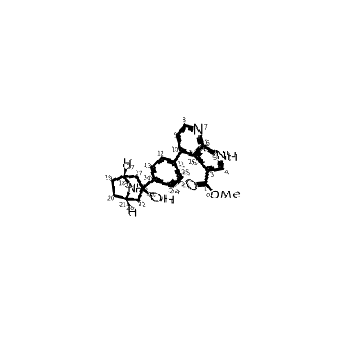 COC(=O)c1c[nH]c2nccc(-c3ccc(C4(O)C[C@H]5CC[C@@H](C4)N5)cc3)c12